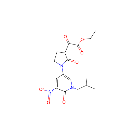 CCOC(=O)C(=O)C1CCN(c2cc([N+](=O)[O-])c(=O)n(CC(C)C)c2)C1=O